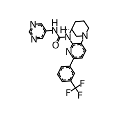 O=C(Nc1cncnc1)N1c2nc(-c3cccc(C(F)(F)F)c3)ccc2N2CCC[C@H]1C2